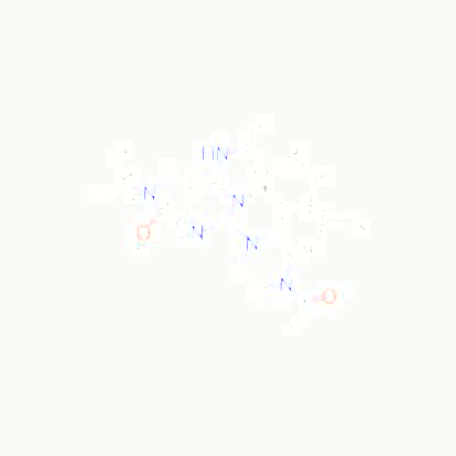 CC(=O)N1CCN(c2nc(NC(C)c3ccc(C(C)C)cc3)c3c(n2)C(=O)N(C(C)C)C3)CC1